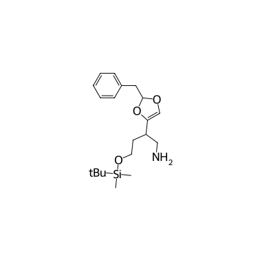 CC(C)(C)[Si](C)(C)OCCC(CN)C1=COC(Cc2ccccc2)O1